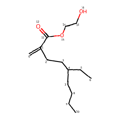 C=C(CCC(CC)CCCC)C(=O)OCCO